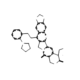 CC[C@@]1(O)C(=O)OCc2c1cc1n(c2=O)Cc2c-1nc1cc3c(cc1c2CCc1ccccc1N1CCCC1)OCO3